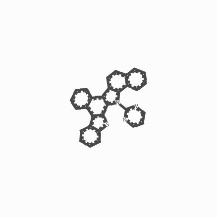 c1cnc(-n2c3c4ccccc4ccc3c3c4ccccc4c4c5ccccc5sc4c32)nc1